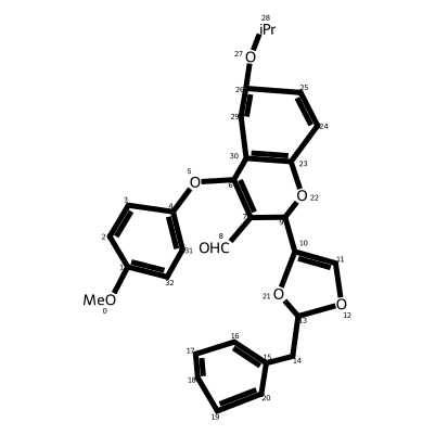 COc1ccc(OC2=C(C=O)C(C3=COC(Cc4ccccc4)O3)Oc3ccc(OC(C)C)cc32)cc1